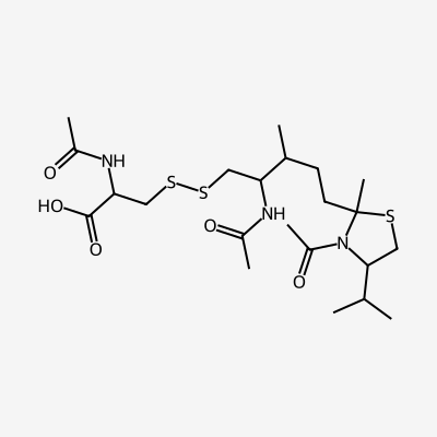 CC(=O)NC(CSSCC(NC(C)=O)C(C)CCC1(C)SCC(C(C)C)N1C(C)=O)C(=O)O